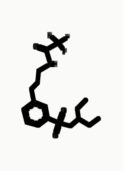 CCC(CC)CS(=O)(=O)c1cccc(CCCNC(=O)C(F)(F)F)c1